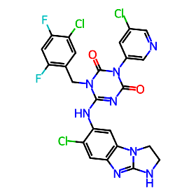 O=c1nc(Nc2cc3c(cc2Cl)nc2n3CCN2)n(Cc2cc(Cl)c(F)cc2F)c(=O)n1-c1cncc(Cl)c1